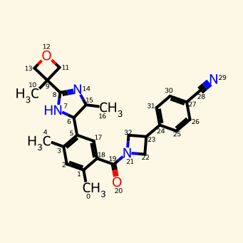 Cc1cc(C)c(C2NC(C3(C)COC3)=NC2C)cc1C(=O)N1CC(c2ccc(C#N)cc2)C1